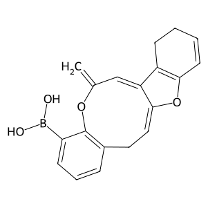 C=C1/C=c2/c3c(o/c2=C/Cc2cccc(B(O)O)c2O1)C=CCC3